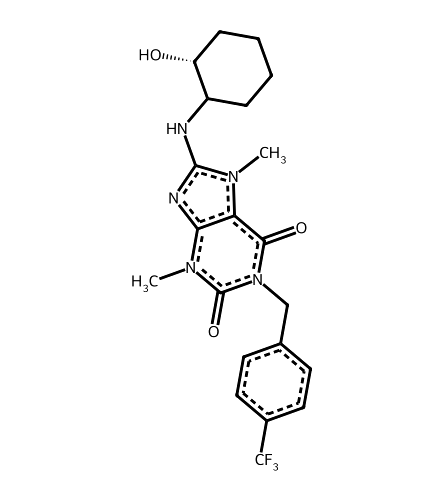 Cn1c(NC2CCCC[C@H]2O)nc2c1c(=O)n(Cc1ccc(C(F)(F)F)cc1)c(=O)n2C